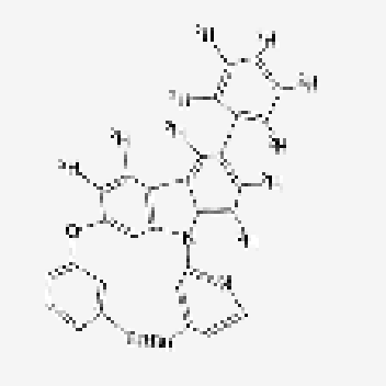 [2H]c1c([2H])c([2H])c(-c2c([2H])c([2H])c3c(c2[2H])c2c([2H])c([2H])c(Oc4cccc(Br)c4)cc2n3-c2cc(C(C)(C)C)ccn2)c([2H])c1[2H]